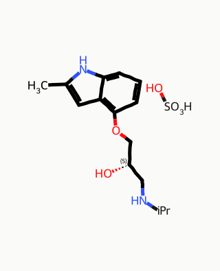 Cc1cc2c(OC[C@@H](O)CNC(C)C)cccc2[nH]1.O=S(=O)(O)O